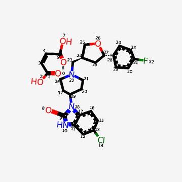 O=C(O)/C=C\C(=O)O.O=c1[nH]c2cc(Cl)ccc2n1C1CCN(C[C@H]2CO[C@H](c3ccc(F)cc3)C2)CC1